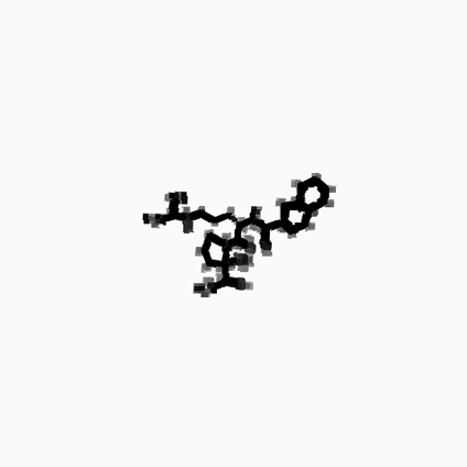 N=C(N)NCCC[C@H](NC(=O)c1ccc2ccccc2c1)C(=O)N1CCC[C@@]1(O)C(N)=O